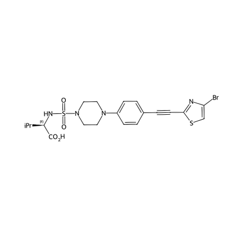 CC(C)[C@@H](NS(=O)(=O)N1CCN(c2ccc(C#Cc3nc(Br)cs3)cc2)CC1)C(=O)O